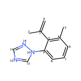 C=C(C)c1c(C)cccc1-n1cncn1